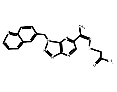 C/C(=N/OCC(N)=O)c1cnc2nnn(Cc3ccc4ncccc4c3)c2n1